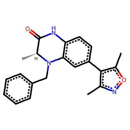 Cc1noc(C)c1-c1ccc2c(c1)N(Cc1ccccc1)[C@H](C)C(=O)N2